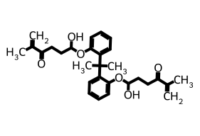 C=C(C)C(=O)CCC(O)Oc1ccccc1C(C)(C)c1ccccc1OC(O)CCC(=O)C(=C)C